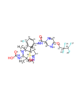 CC1(C)C(NC(=O)O)=N[C@](C)(c2cc(NC(=O)c3cnc(OCC(F)(F)C(F)F)cn3)ccc2F)[C@@H]2CCNS21O